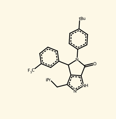 CC(C)Cc1n[nH]c2c1C(c1cccc(C(F)(F)F)c1)N(c1ccc(C(C)(C)C)cc1)C2=O